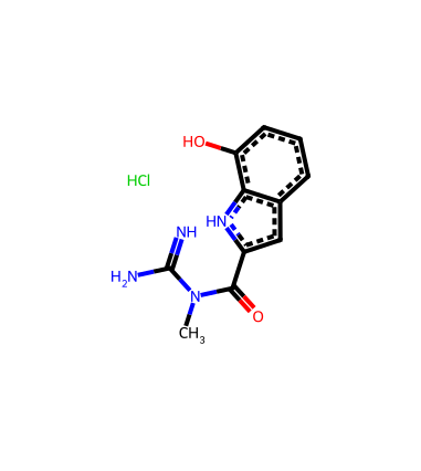 CN(C(=N)N)C(=O)c1cc2cccc(O)c2[nH]1.Cl